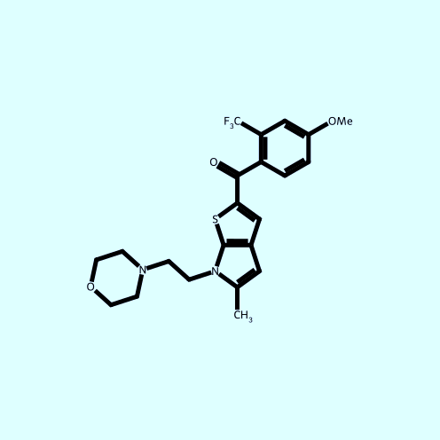 COc1ccc(C(=O)c2cc3cc(C)n(CCN4CCOCC4)c3s2)c(C(F)(F)F)c1